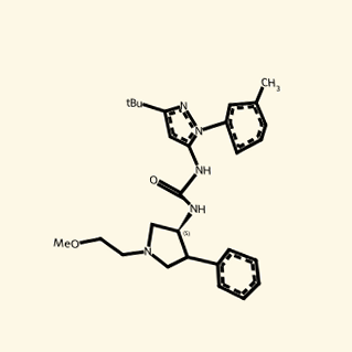 COCCN1CC(c2ccccc2)[C@H](NC(=O)Nc2cc(C(C)(C)C)nn2-c2cccc(C)c2)C1